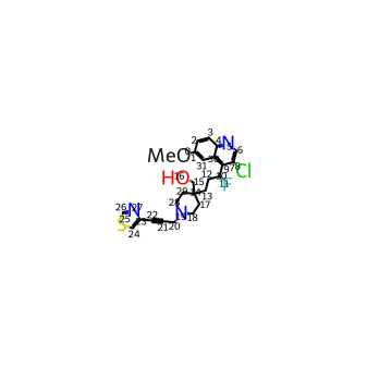 COc1ccc2ncc(Cl)c(C(F)CCC3(CO)CCN(CC#Cc4cscn4)CC3)c2c1